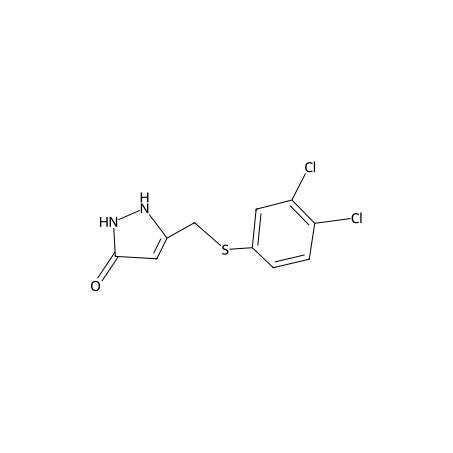 O=c1cc(CSc2ccc(Cl)c(Cl)c2)[nH][nH]1